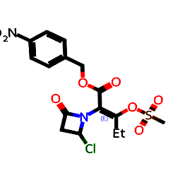 CC/C(OS(C)(=O)=O)=C(/C(=O)OCc1ccc([N+](=O)[O-])cc1)N1C(=O)CC1Cl